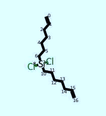 C=CCCCCC[Si](Cl)(Cl)CCCCCC=C